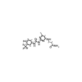 Cc1cc(NCCC(N)=O)nc(NC(=O)Nc2ccc(F)c(C(F)(F)F)c2)n1